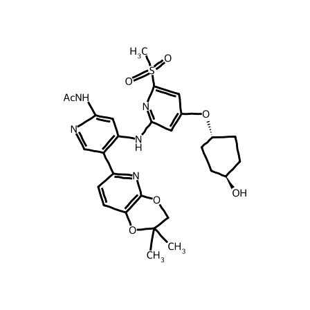 CC(=O)Nc1cc(Nc2cc(O[C@H]3CC[C@H](O)CC3)cc(S(C)(=O)=O)n2)c(-c2ccc3c(n2)OCC(C)(C)O3)cn1